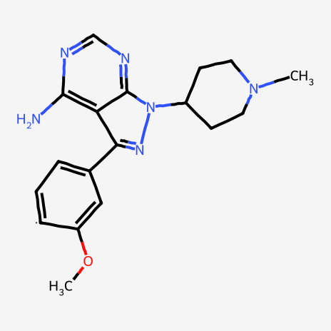 COc1[c]ccc(-c2nn(C3CCN(C)CC3)c3ncnc(N)c23)c1